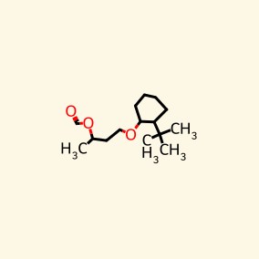 CC(CCOC1CCCCC1C(C)(C)C)OC=O